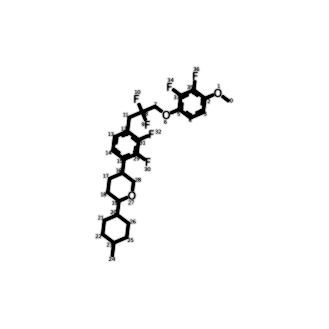 COc1ccc(OCC(F)(F)Cc2ccc(C3CCC(C4CCC(C)CC4)OC3)c(F)c2F)c(F)c1F